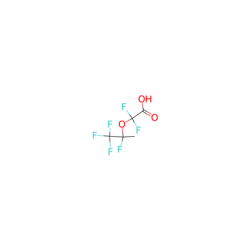 CC(F)(OC(F)(F)C(=O)O)C(F)(F)F